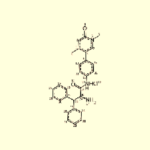 Cc1cc(=O)n(C)cc1-c1ccc(NC(=O)[C@@H](N)C(c2ccccc2)c2ccccc2)cc1.Cl